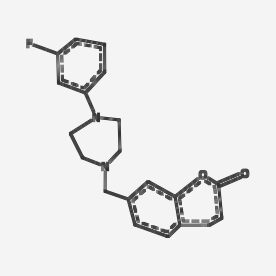 O=c1ccc2ccc(CN3CCN(c4cccc(F)c4)CC3)cc2o1